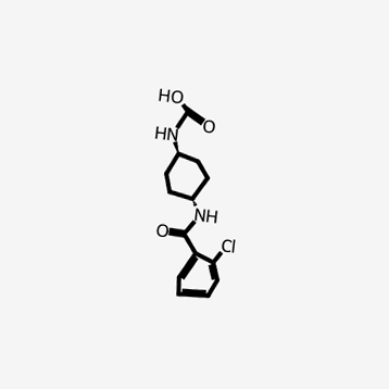 O=C(O)N[C@H]1CC[C@H](NC(=O)c2ccccc2Cl)CC1